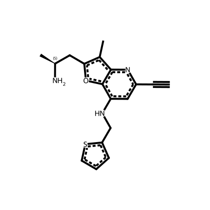 C#Cc1cc(NCc2cccs2)c2oc(C[C@H](C)N)c(C)c2n1